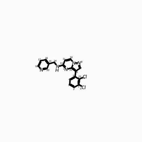 Clc1cccc(-c2cnn3ccc(NCc4cccnc4)nc23)c1Cl